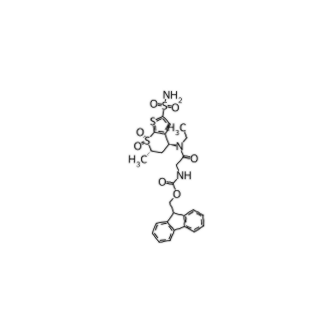 CCN(C(=O)CNC(=O)OCC1c2ccccc2-c2ccccc21)[C@H]1C[C@H](C)S(=O)(=O)c2sc(S(N)(=O)=O)cc21